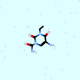 CCn1c(=O)c(N)cn(C(N)=O)c1=O